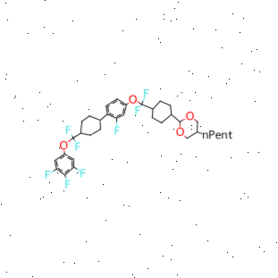 CCCCCC1COC(C2CCC(C(F)(F)Oc3ccc(C4CCC(C(F)(F)Oc5cc(F)c(F)c(F)c5)CC4)c(F)c3)CC2)OC1